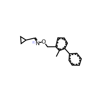 Cc1c(CO/N=C/C2CC2)cccc1-c1ccccc1